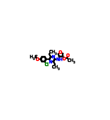 CCc1nc(-c2ccc(OC)cc2Cl)c(CC)nc1N[C@@H]1COC[C@@H]1OC(C)=O